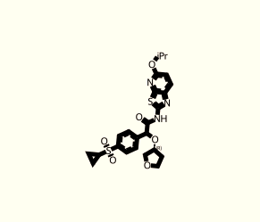 CC(C)Oc1ccc2nc(NC(=O)C(O[C@@H]3CCOC3)c3ccc(S(=O)(=O)C4CC4)cc3)sc2n1